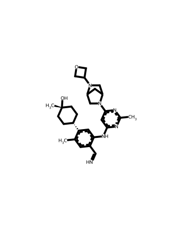 Cc1nc(Nc2cc([C@H]3CC[C@@](C)(O)CC3)c(C)cc2C=N)cc(N2CC3CC2CN3C2COC2)n1